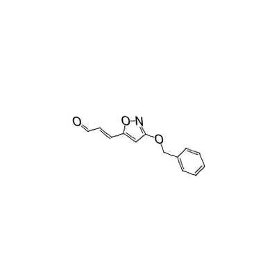 O=C/C=C/c1cc(OCc2ccccc2)no1